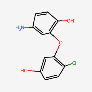 Nc1ccc(O)c(Oc2cc(O)ccc2Cl)c1